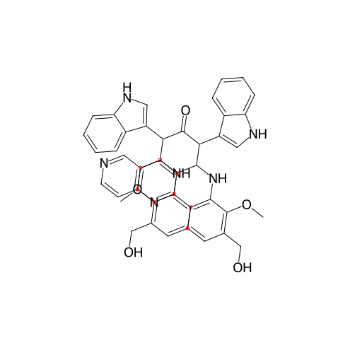 COc1c(CO)cccc1NC(c1cccnc1)C(C(=O)C(c1c[nH]c2ccccc12)C(Nc1cccc(CO)c1OC)c1cccnc1)c1c[nH]c2ccccc12